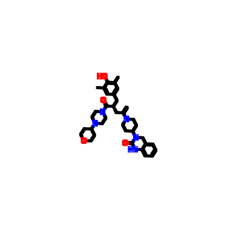 C=C(C[C@H](Cc1cc(C)c(O)c(C)c1)C(=O)N1CCN(C2CCOCC2)CC1)N1CCC(N2Cc3ccccc3NC2=O)CC1